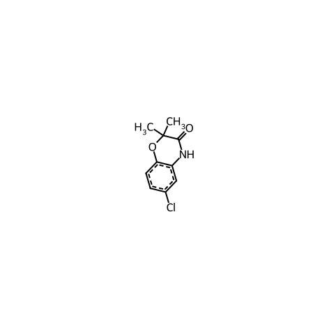 CC1(C)Oc2ccc(Cl)cc2NC1=O